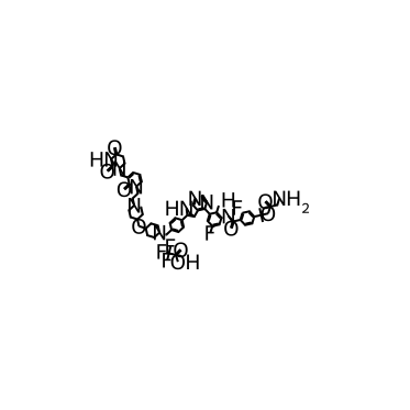 Cc1c(NC(=O)c2ccc(C(C)(C)OC(=O)CN)cc2F)cc(F)cc1-c1ncnc2[nH]c(-c3ccc(CN4CCC(OC5CCN(CCn6cccc(CN7CCC(=O)NC7=O)c6=O)CC5)CC4)cc3)cc12.O=C(O)C(F)(F)F